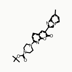 Cc1ccn2cc(-c3cc4ccc(N5CCN(C(=O)OC(C)(C)C)CC5)nc4oc3=O)nc2c1